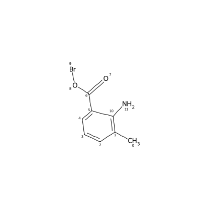 Cc1cccc(C(=O)OBr)c1N